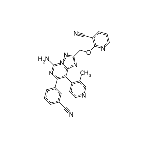 Cc1cnccc1-c1c(-c2cccc(C#N)c2)nc(N)n2nc(COc3ncccc3C#N)nc12